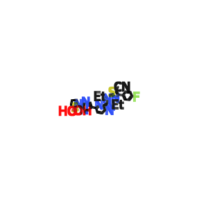 CCN(c1nc(-c2ccc(F)cc2)c(C#N)s1)c1c2nc(-c3cnc(N4CCCS4(O)O)nc3)ccc2nn1CC